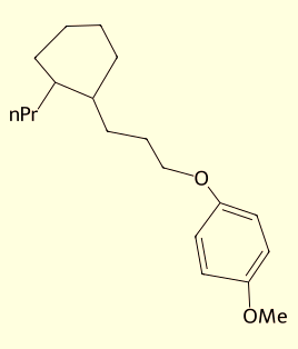 CCCC1CCCCC1CCCOc1ccc(OC)cc1